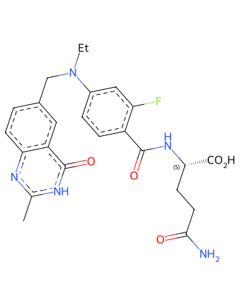 CCN(Cc1ccc2nc(C)[nH]c(=O)c2c1)c1ccc(C(=O)N[C@@H](CCC(N)=O)C(=O)O)c(F)c1